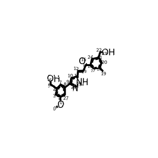 COc1cc(CO)cc(-c2cc(/C=C/C(=O)c3cc(C)cc(CO)c3)[nH]n2)c1